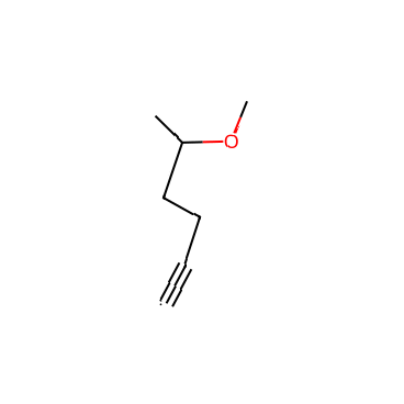 [C]#CCCC(C)OC